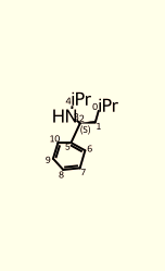 CC(C)C[C@H](NC(C)C)c1ccccc1